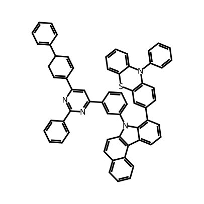 C1=CC(c2ccccc2)CC=C1c1cc(-c2cccc(-n3c4ccc5ccccc5c4c4cccc(-c5ccc6c(c5)Sc5ccccc5N6c5ccccc5)c43)c2)nc(-c2ccccc2)n1